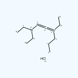 CCC[N+](=C=NN(CC)CC)CC.Cl